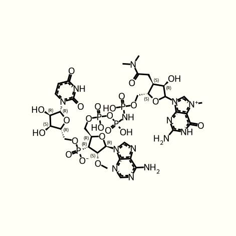 CO[C@@H]1[C@H](P(=O)([O-])OC[C@H]2O[C@@H](n3ccc(=O)[nH]c3=O)[C@H](O)[C@@H]2O)[C@@H](COP(=O)(O)OP(=O)(O)NP(=O)(O)OC[C@H]2OC(n3c[n+](C)c4c(=O)[nH]c(N)nc43)[C@H](O)[C@@H]2CC(=O)N(C)C)O[C@H]1n1cnc2c(N)ncnc21